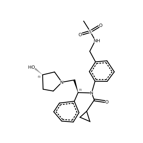 CS(=O)(=O)NCc1cccc(N(C(=O)C2CC2)[C@H](CN2CC[C@H](O)C2)c2ccccc2)c1